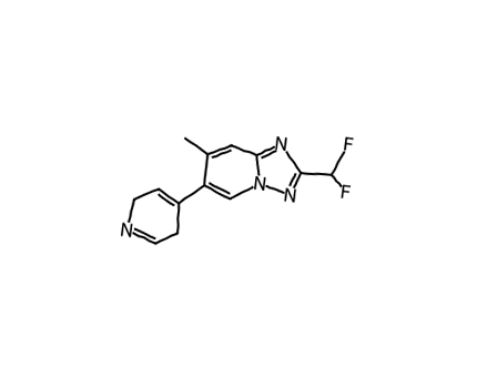 Cc1cc2nc(C(F)F)nn2cc1C1=CCN=CC1